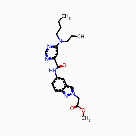 CCCCN(CCC)c1cc(C(=O)Nc2ccc3nn(CC(=O)OC)cc3c2)ncn1